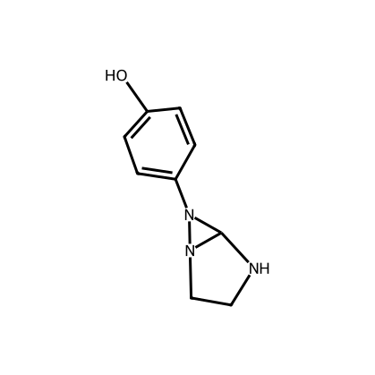 Oc1ccc(N2C3NCCN32)cc1